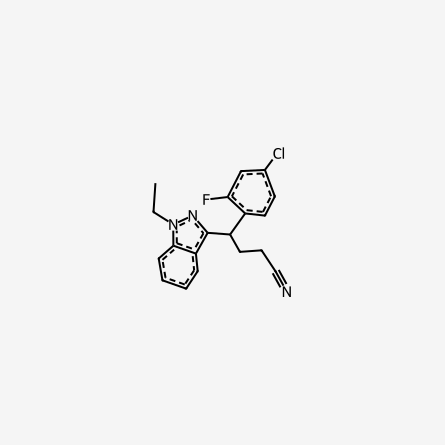 CCn1nc(C(CCC#N)c2ccc(Cl)cc2F)c2ccccc21